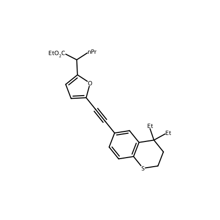 CCCC(C(=O)OCC)c1ccc(C#Cc2ccc3c(c2)C(CC)(CC)CCS3)o1